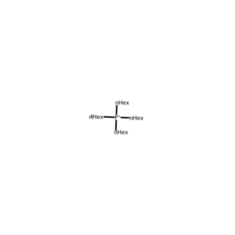 CCCCCC[P+](CCCCCC)(CCCCCC)CCCCCC.[I-]